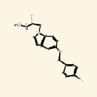 C[C@H](Cn1ccc2cc(OCc3ccc(F)cc3)ccc21)NC(=O)O